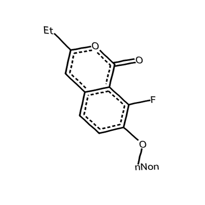 CCCCCCCCCOc1ccc2cc(CC)oc(=O)c2c1F